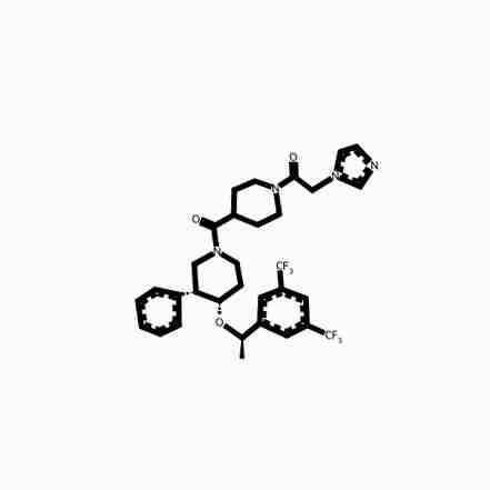 C[C@@H](O[C@H]1CCN(C(=O)C2CCN(C(=O)Cn3ccnc3)CC2)C[C@H]1c1ccccc1)c1cc(C(F)(F)F)cc(C(F)(F)F)c1